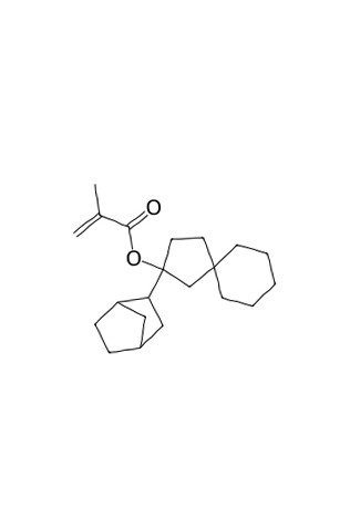 C=C(C)C(=O)OC1(C2CC3CCC2C3)CCC2(CCCCC2)C1